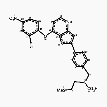 CSCCN(Cc1ccc(-c2cc3nccc(Oc4ccc([N+](=O)[O-])cc4F)c3s2)nc1)C(=O)O